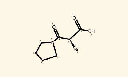 O=C(O)[C@@H](Br)C(=O)N1CCCC1